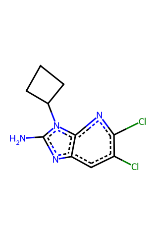 Nc1nc2cc(Cl)c(Cl)nc2n1C1CCC1